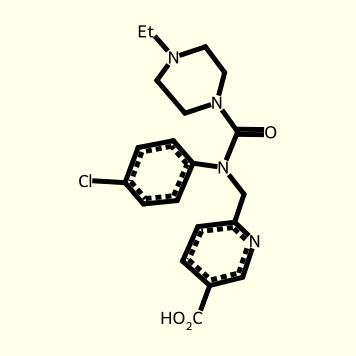 CCN1CCN(C(=O)N(Cc2ccc(C(=O)O)cn2)c2ccc(Cl)cc2)CC1